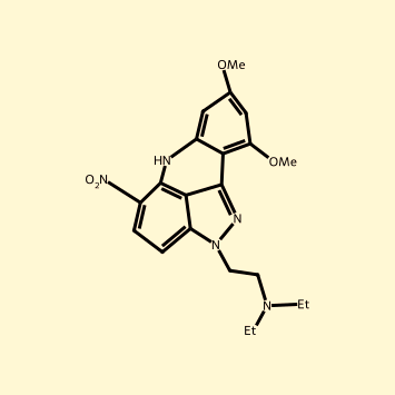 CCN(CC)CCn1nc2c3c(c([N+](=O)[O-])ccc31)Nc1cc(OC)cc(OC)c1-2